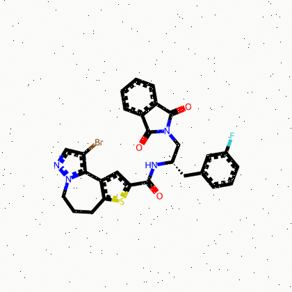 O=C(N[C@@H](Cc1cccc(F)c1)CN1C(=O)c2ccccc2C1=O)c1cc2c(s1)CCCn1ncc(Br)c1-2